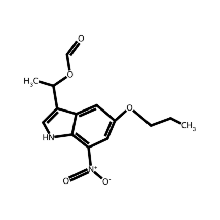 CCCOc1cc([N+](=O)[O-])c2[nH]cc(C(C)OC=O)c2c1